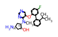 CC(C)c1ccccc1-c1cc(F)ccc1Oc1cncnc1N(C)[C@H]1C[C@@H](N)C[C@H]1O